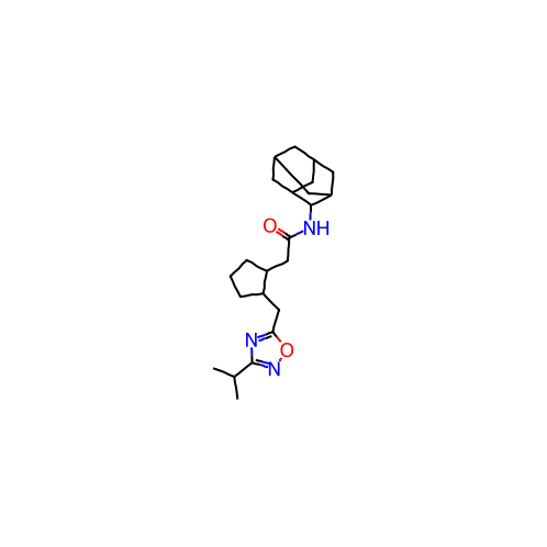 CC(C)c1noc(CC2CCCC2CC(=O)NC2C3CC4CC(C3)CC2C4)n1